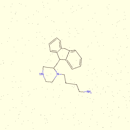 NCCCCN1CCNCC1C1c2ccccc2-c2ccccc21